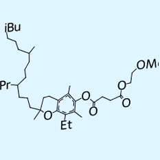 CCCC(CCCC(C)CCCC(C)CC)CCCC1(C)CCc2c(C)c(OC(=O)CCC(=O)OCCOC)c(C)c(CC)c2O1